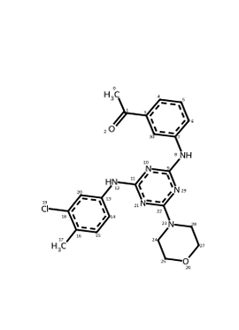 CC(=O)c1cccc(Nc2nc(Nc3ccc(C)c(Cl)c3)nc(N3CCOCC3)n2)c1